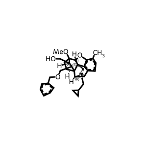 COC12CCC3([C@@H](COCc4ccccc4)[C@@H]1CO)[C@H]1Cc4ccc(C)c5c4[C@@]3(CCN1CC1CC1)[C@H]2O5